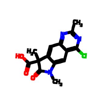 Cc1nc(Cl)c2cc3c(cc2n1)C(C)(C(=O)O)C(=O)N3C